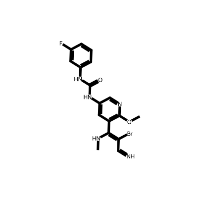 CN/C(=C(/Br)C=N)c1cc(NC(=O)Nc2cccc(F)c2)cnc1OC